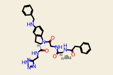 CC[C@H](C)[C@H](NC(=O)Cc1ccccc1)C(=O)NCC(=O)N1c2ccc(NCc3ccccc3)cc2C[C@H]1C(=O)NCc1nn[nH]n1